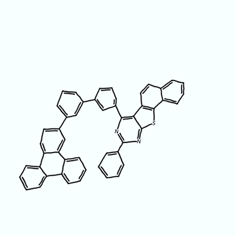 c1ccc(-c2nc(-c3cccc(-c4cccc(-c5ccc6c7ccccc7c7ccccc7c6c5)c4)c3)c3c(n2)sc2c4ccccc4ccc23)cc1